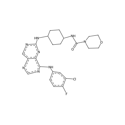 O=C(NC1CCC(Nc2ncc3ncnc(Nc4ccc(F)c(Cl)c4)c3n2)CC1)N1CCOCC1